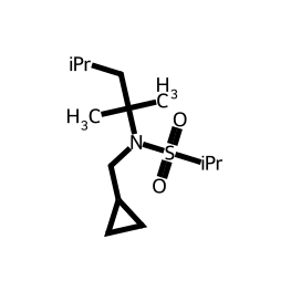 CC(C)CC(C)(C)N(CC1CC1)S(=O)(=O)C(C)C